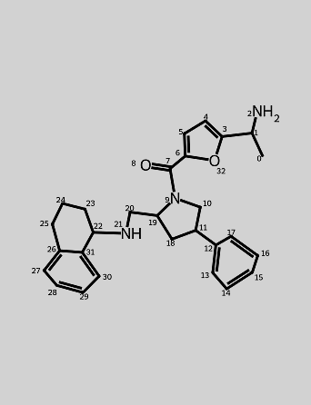 CC(N)c1ccc(C(=O)N2CC(c3ccccc3)CC2CNC2CCCc3ccccc32)o1